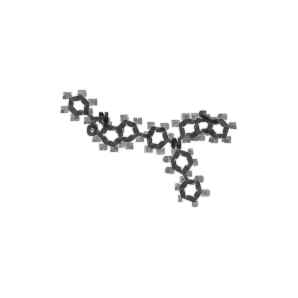 c1ccc(-c2ccc(N(c3ccc(-c4ccc5c(ccc6oc(-c7ccccc7)nc65)c4)cc3)c3ccc4sc5ccccc5c4c3)cc2)cc1